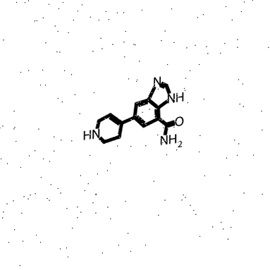 NC(=O)c1cc(C2=CCNCC2)cc2nc[nH]c12